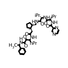 CCCC(NC(=O)C[C@H]1CCC[C@H]1CNC(=O)[C@@H](NC(=O)[C@H](NC(=O)c1cnccn1)C(C)C)C(C)C)C(=O)C(=O)N[C@H](C)c1ccccc1